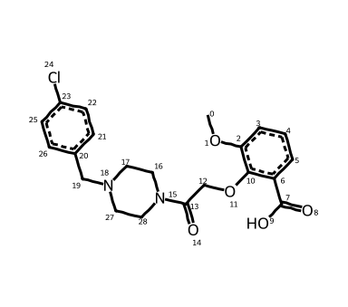 COc1cccc(C(=O)O)c1OCC(=O)N1CCN(Cc2ccc(Cl)cc2)CC1